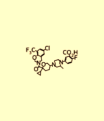 CC1CN(C2CCC(C(=O)N3COc4c(cc(Cl)cc4C(F)(F)F)C3)(C3CC3)OC2)CCN1c1ccc(F)c(C(=O)O)c1